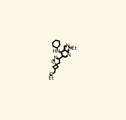 CCOCC1CC2(CC(c3cnc4c(cnn4CC)c3NC3CCCCC3)=NO2)C1